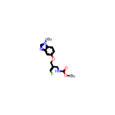 CCCCn1cnc2cc(OC/C(=C/F)CNC(=O)OC(C)(C)C)ccc21